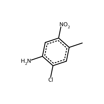 Cc1cc(Cl)c(N)cc1[N+](=O)[O-]